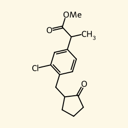 COC(=O)C(C)c1ccc(CC2CCCC2=O)c(Cl)c1